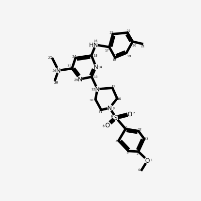 COc1ccc(S(=O)(=O)N2CCN(c3nc(Nc4ccc(C)cc4)cc(N(C)C)n3)CC2)cc1